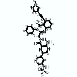 C[C@@H](NC(=O)c1nc(-c2cncc(NS(C)(=O)=O)c2)cnc1N)c1nc2cccc(C#Cc3cnn(C)c3)c2c(=O)n1-c1ccccc1